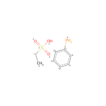 CCS(=O)(=O)O.Pc1ccccc1